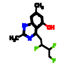 Cc1cc(O)c2c(CC(F)C(F)CF)nc(C)nc2c1